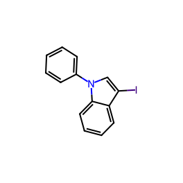 Ic1cn(-c2ccccc2)c2ccccc12